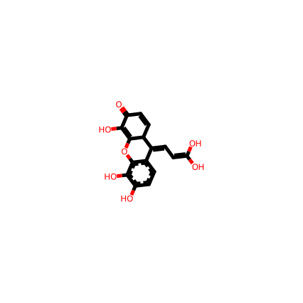 O=C1C=CC2C(=C1O)Oc1c(ccc(O)c1O)/C2=C\C=C(O)O